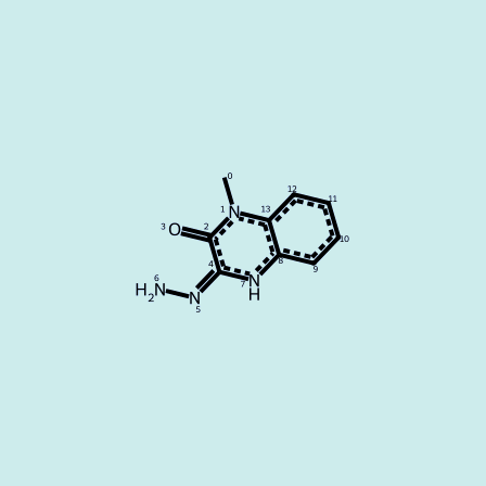 Cn1c(=O)c(=NN)[nH]c2ccccc21